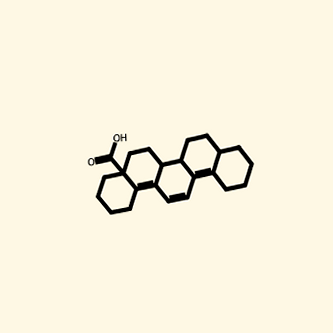 O=C(O)C12CCCCC1=C1C=CC3=C4CCCCC4CCC3C1CC2